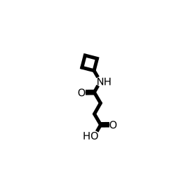 O=C(O)CCC(=O)NC1CCC1